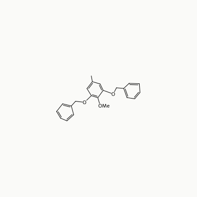 COc1c(OCc2ccccc2)cc(C)cc1OCc1ccccc1